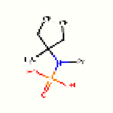 CC(C)N(C(CC(F)(F)F)(CC(F)(F)F)C(F)(F)F)P(=O)(O)O